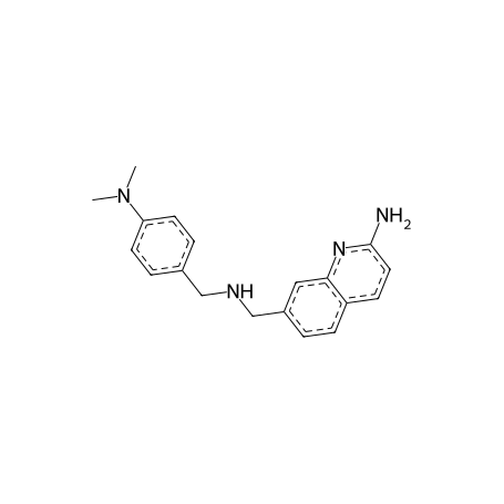 CN(C)c1ccc(CNCc2ccc3ccc(N)nc3c2)cc1